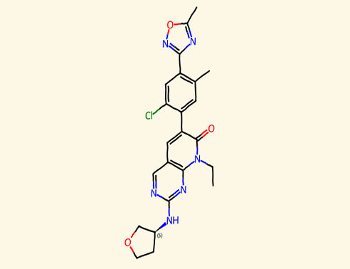 CCn1c(=O)c(-c2cc(C)c(-c3noc(C)n3)cc2Cl)cc2cnc(N[C@H]3CCOC3)nc21